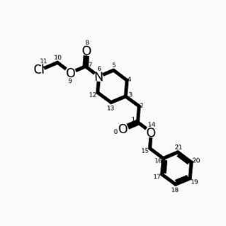 O=C(CC1CCN(C(=O)OCCl)CC1)OCc1ccccc1